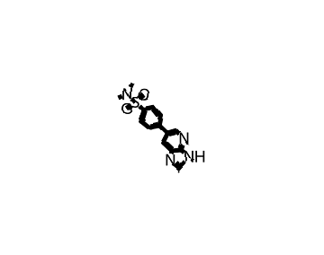 CN(C)S(=O)(=O)c1ccc(-c2cnc3[nH][c]nc3c2)cc1